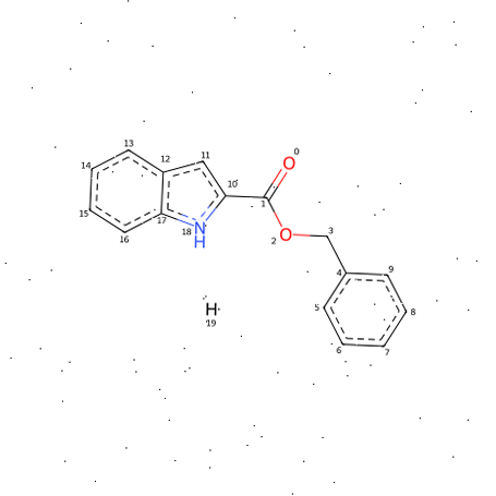 O=C(OCc1ccccc1)c1cc2ccccc2[nH]1.[H]